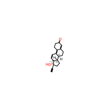 C#C[C@]1(O)CC[C@H]2[C@@H]3CCC4=CC(=O)CCC4=C3C=C[C@@]21C